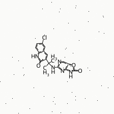 CC(C)(Nc1ncc2oc(=O)[nH]c2n1)c1cc2cc(Cl)ccc2[nH]c1=O